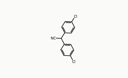 N#CC(c1ccc(Cl)cc1)c1ccc(Cl)cc1